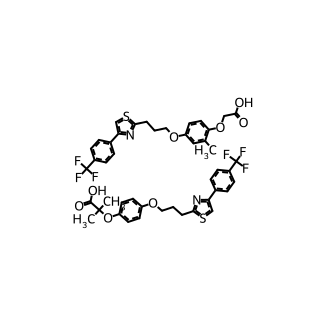 CC(C)(Oc1ccc(OCCCc2nc(-c3ccc(C(F)(F)F)cc3)cs2)cc1)C(=O)O.Cc1cc(OCCCc2nc(-c3ccc(C(F)(F)F)cc3)cs2)ccc1OCC(=O)O